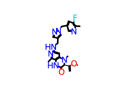 C=C(OC)[C@H]1C(=O)Nc2c(cc(NCc3cnn(Cc4cnc(C)c(F)c4)c3)nc2C)N1C